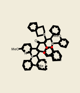 COc1ccc2c(n1)N(c1ccccc1OC)C(c1ccccc1)C(N1CCc3ccccc3C1)=C2C(=O)C1=C(N2CCc3ccccc3C2)C(c2ccccc2)N(c2ccccc2OC)c2nc(OC)ccc21